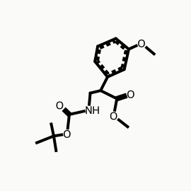 COC(=O)C(CNC(=O)OC(C)(C)C)c1cccc(OC)c1